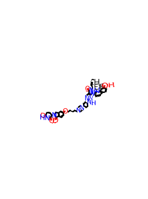 C=CCn1c(=O)c2cnc(Nc3ccc(N4CCN(CCCCCOc5ccc6c(c5)CN(C5CCC(=O)NC5=O)C6=O)CC4)cc3)nc2n1-c1ccc2c(n1)[C@@](O)(CC)CC2